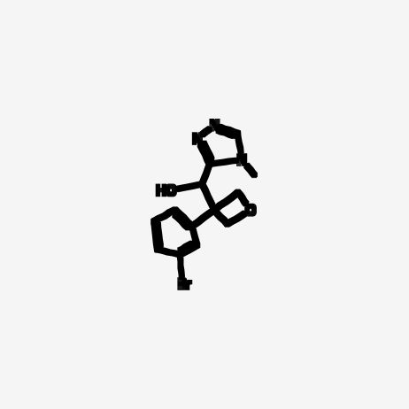 Cn1cnnc1C(O)C1(c2cccc(Br)c2)COC1